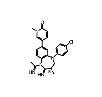 CC(=N)N1C(=N)[C@H](C)CN(c2ccc(Cl)cc2)c2cc(-c3ccc(=O)n(C)c3)ccc21